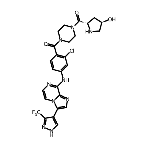 O=C(c1ccc(Nc2nccn3c(-c4c[nH]nc4C(F)(F)F)cnc23)cc1Cl)N1CCN(C(=O)[C@@H]2C[C@@H](O)CN2)CC1